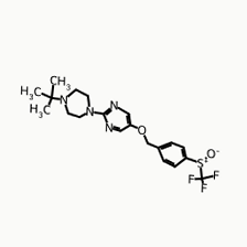 CC(C)(C)N1CCN(c2ncc(OCc3ccc([S+]([O-])C(F)(F)F)cc3)cn2)CC1